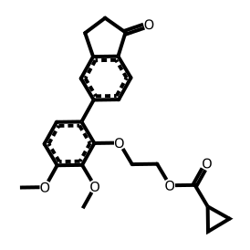 COc1ccc(-c2ccc3c(c2)CCC3=O)c(OCCOC(=O)C2CC2)c1OC